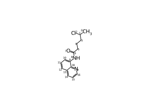 CC(Cl)CCCC(=O)Nc1cccc2cccnc12